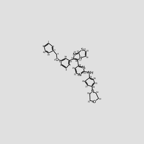 c1ccc(COc2cccc(-c3nc4sccn4c3-c3ccnc(Nc4ccc(N5CCOCC5)cc4)n3)c2)cc1